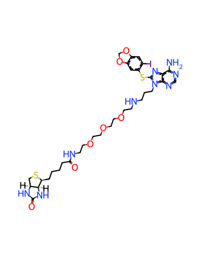 Nc1ncnc2c1nc(Sc1cc3c(cc1I)OCO3)n2CCCNCCOCCOCCOCCNC(=O)CCCC[C@@H]1SC[C@@H]2NC(=O)N[C@@H]21